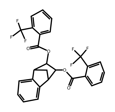 O=C(OC1C2CC(c3ccccc32)C1OC(=O)c1ccccc1C(F)(F)F)c1ccccc1C(F)(F)F